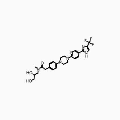 CN(C[C@H](O)CO)C(=O)Cc1ccc(N2CCN(c3ccc(-c4nc(C(F)(F)F)c[nH]4)cn3)CC2)cc1